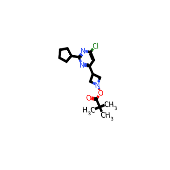 CC(C)(C)C(=O)ON1CC(c2cc(Cl)nc(C3CCCC3)n2)C1